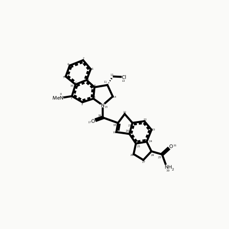 CNc1cc2c(c3ccccc13)[C@H](CCl)CN2C(=O)C1=Cc2c(ccc3c2CCC3C(N)=O)C1